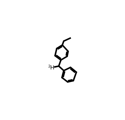 [2H][C](c1ccccc1)c1ccc(CC)cc1